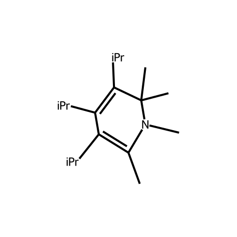 CC1=C(C(C)C)C(C(C)C)=C(C(C)C)C(C)(C)N1C